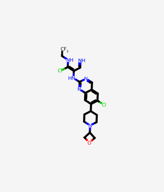 N=C/C(Nc1ncc2cc(Cl)c(C3CCN(C4COC4)CC3)cc2n1)=C(/Cl)NCC(F)(F)F